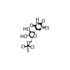 CCn1cc([C@@H]2O[C@H](COP(=S)(Cl)Cl)[C@H](O)C2O)c(=O)[nH]c1=O